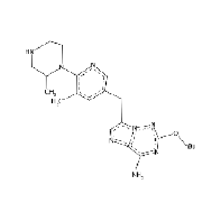 CCCCOc1nc(N)c2ncc(Cc3cnc(N4CCNCC4C)c(C)c3)n2n1